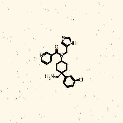 NC[C@]1(c2cccc(Cl)c2)CC[C@H](N(Cc2cnc[nH]2)C(=O)c2cccnc2)CC1